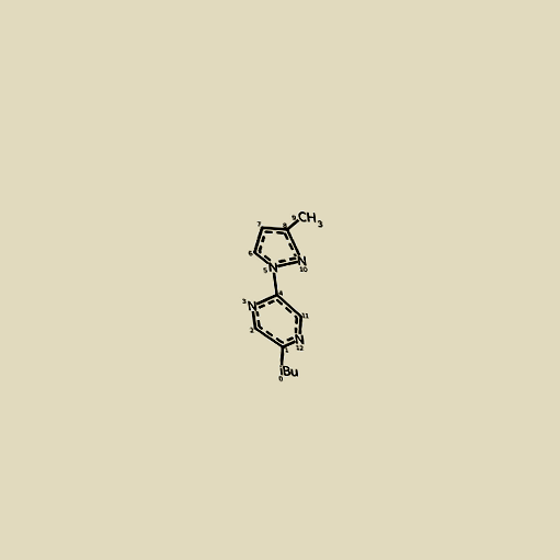 CCC(C)c1cnc(-n2ccc(C)n2)cn1